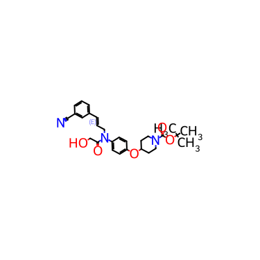 CC(C)(C)OC(=O)N1CCC(Oc2ccc(N(C/C=C/c3cccc(C#N)c3)C(=O)CO)cc2)CC1